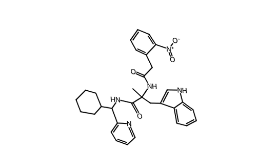 CC(Cc1c[nH]c2ccccc12)(NC(=O)Cc1ccccc1[N+](=O)[O-])C(=O)NC(c1ccccn1)C1CCCCC1